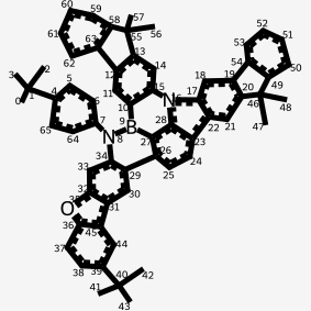 CC(C)(C)c1ccc(N2B3c4cc5c(cc4-n4c6cc7c(cc6c6ccc(c3c64)-c3cc4c(cc32)oc2ccc(C(C)(C)C)cc24)C(C)(C)c2ccccc2-7)C(C)(C)c2ccccc2-5)cc1